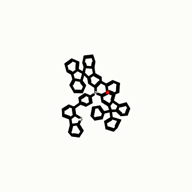 c1ccc(-c2cc3c(cc2N(c2ccc(-c4cccc5c4sc4ccccc45)cc2)c2ccc4c(c2)C(c2ccccc2)(c2ccccc2)c2ccccc2-4)C2(c4ccccc4-c4ccccc42)c2ccccc2-3)cc1